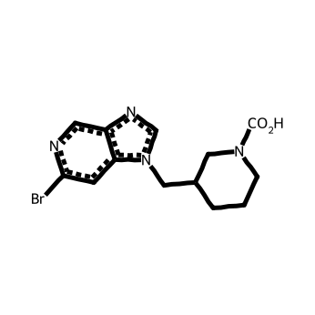 O=C(O)N1CCCC(Cn2cnc3cnc(Br)cc32)C1